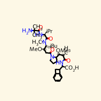 CC[C@H](C)[C@@H]([C@@H](CC(=O)N1CCCC1[C@H](OC)[C@@H](C)C(=O)NC(C(=O)O)C1Cc2ccccc21)OC)N(C)C(=O)[C@@H](NC(=O)C(C)(C)N)C(C)C